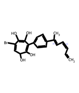 C=C/C=C\C=C(/C)c1ccc(C2=C(O)C(O)C=C(Br)C(O)=C2O)cc1